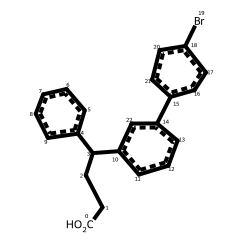 O=C(O)CCC(c1ccccc1)c1cccc(-c2ccc(Br)cc2)c1